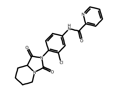 O=C(Nc1ccc(N2C(=O)C3CCCCN3C2=O)c(Cl)c1)c1ccccn1